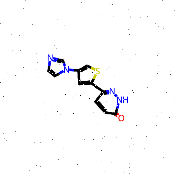 O=c1ccc(-c2cc(-n3ccnc3)cs2)n[nH]1